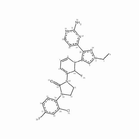 CCn1cc(C2C=CC=C(N3CCN(c4ccc(F)cc4Cl)C3=O)C2F)c(-c2ccnc(N)n2)n1